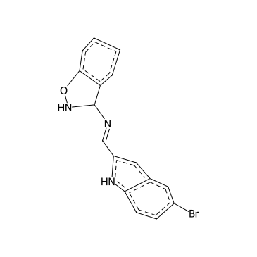 Brc1ccc2[nH]c(/C=N/C3NOc4ccccc43)cc2c1